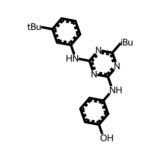 CCC(C)c1nc(Nc2cccc(O)c2)nc(Nc2cccc(C(C)(C)C)c2)n1